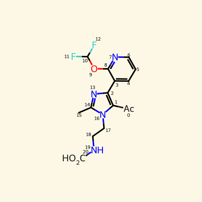 CC(=O)c1c(-c2cccnc2OC(F)F)nc(C)n1CCNC(=O)O